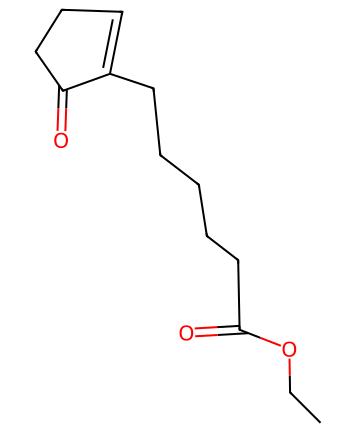 CCOC(=O)CCCCCC1=CCCC1=O